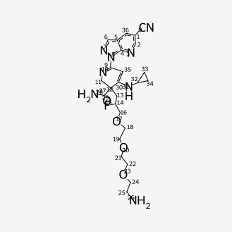 N#Cc1cnc2c(cnn2C2=NCC(CC(F)COCCOCCOCCN)(C(N)=O)C(NC3CC3)=C2)c1